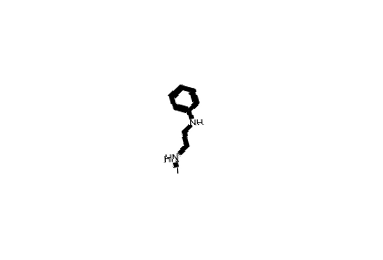 INCCNc1ccccc1